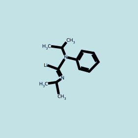 [Li][C](=NC(C)C)N(c1ccccc1)C(C)C